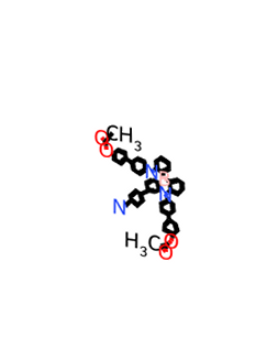 CC1OC1Oc1ccc(-c2ccc(N3c4ccccc4B4c5ccccc5N(c5ccc(-c6ccc(OC7OC7C)cc6)cc5)c5cc(-c6ccc(C#N)cc6)cc3c54)cc2)cc1